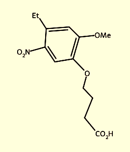 CCc1cc(OC)c(OCCCC(=O)O)cc1[N+](=O)[O-]